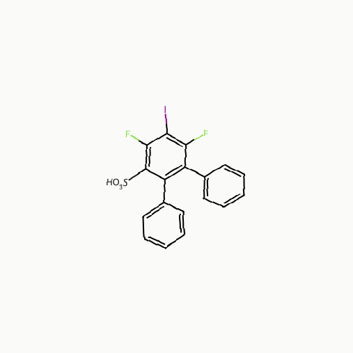 O=S(=O)(O)c1c(F)c(I)c(F)c(-c2ccccc2)c1-c1ccccc1